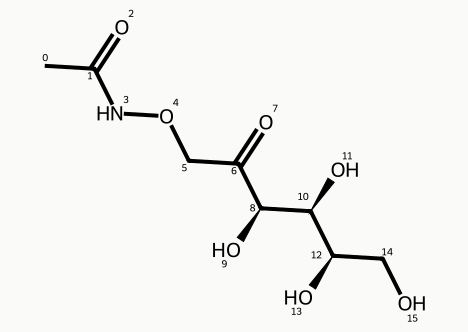 CC(=O)NOCC(=O)[C@H](O)[C@@H](O)[C@H](O)CO